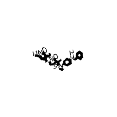 CCN(c1sc2c(c1C)C(=O)N(C(C)c1c(C)cc(C)[nH]c1=O)CC2)[C@H]1CC[C@H](NCc2ccccc2)CC1